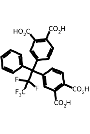 O=C(O)c1ccc(C(c2ccccc2)(c2ccc(C(=O)O)c(C(=O)O)c2)C(F)(F)C(F)(F)F)cc1C(=O)O